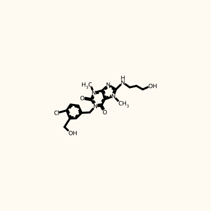 Cn1c(NCCCO)nc2c1c(=O)n(Cc1ccc(Cl)c(CO)c1)c(=O)n2C